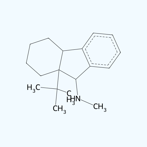 CNC1c2ccccc2C2CCCCC21C(C)(C)C